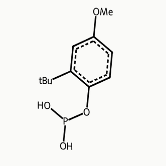 COc1ccc(OP(O)O)c(C(C)(C)C)c1